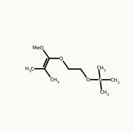 COC(OCCO[Si](C)(C)C)=C(C)C